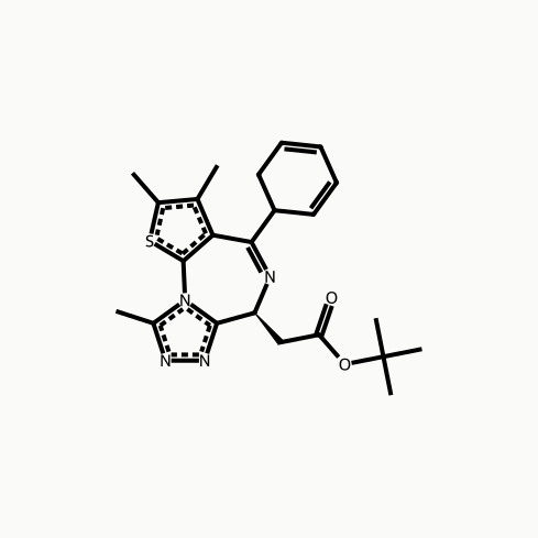 Cc1sc2c(c1C)C(C1C=CC=CC1)=N[C@@H](CC(=O)OC(C)(C)C)c1nnc(C)n1-2